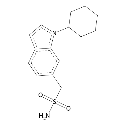 NS(=O)(=O)Cc1ccc2ccn(C3CCCCC3)c2c1